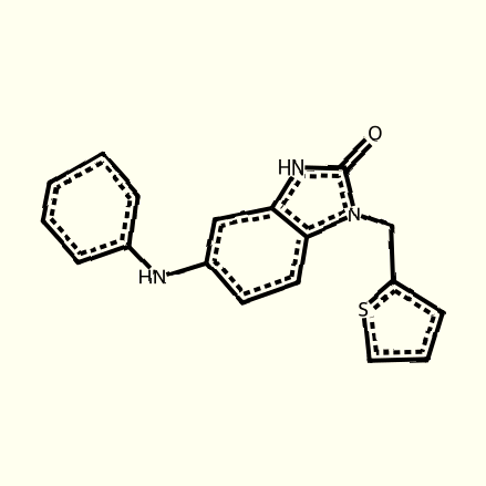 O=c1[nH]c2cc(Nc3ccccc3)ccc2n1Cc1cccs1